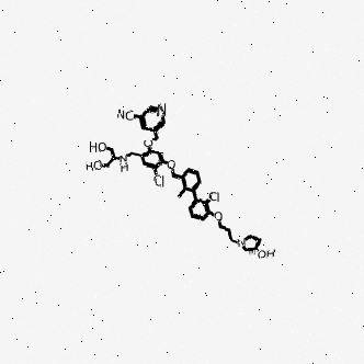 Cc1c(COc2cc(OCc3cncc(C#N)c3)c(CNC(CO)CO)cc2Cl)cccc1-c1cccc(OCCCN2CC[C@@H](O)C2)c1Cl